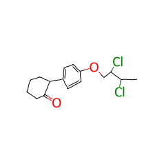 CC(Cl)C(Cl)COc1ccc(C2CCCCC2=O)cc1